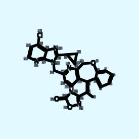 C/C(=C1\c2ccccc2OCc2nc(Cn3c(C4CC4)nc4c(Cl)ccnc43)ccc21)c1noc(=O)[nH]1